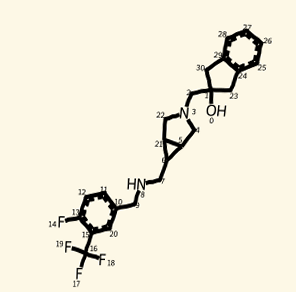 OC1(CN2CC3C(CNCc4ccc(F)c(C(F)(F)F)c4)C3C2)Cc2ccccc2C1